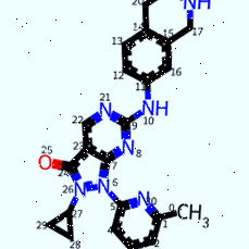 Cc1cccc(-n2c3nc(Nc4ccc5c(c4)CNCC5)ncc3c(=O)n2C2CC2)n1